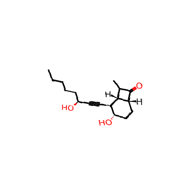 CCCCC[C@H](O)C#C[C@H]1[C@@H]2C(C)C(=O)[C@@H]2CC[C@@H]1O